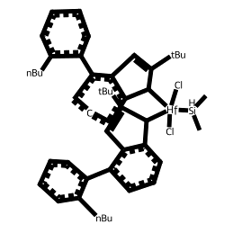 CCCCc1ccccc1-c1cccc2c1C=C(C(C)(C)C)[CH]2[Hf]([Cl])([Cl])([CH]1C(C(C)(C)C)=Cc2c(-c3ccccc3CCCC)cccc21)[SiH](C)C